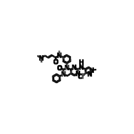 CN(C)C/C=C/C(=O)N(C)c1cccc(N2C(=O)N(c3ccccc3)Cc3cnc(Nc4cn(C)nc4Cl)nc32)c1